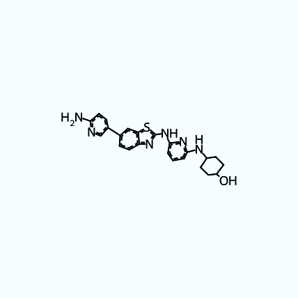 Nc1ccc(-c2ccc3nc(Nc4cccc(NC5CCC(O)CC5)n4)sc3c2)cn1